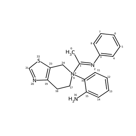 CC(=Nc1ccccc1)[N+]1(c2ccccc2N)CCc2ncsc2C1